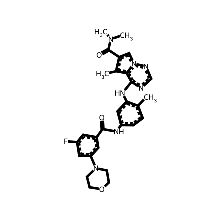 Cc1ccc(NC(=O)c2cc(F)cc(N3CCOCC3)c2)cc1Nc1ncnn2cc(C(=O)N(C)C)c(C)c12